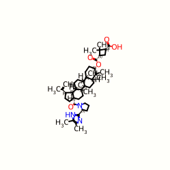 C=C(C)[C@@H]1CC[C@]2(C(=O)N3CCC[C@H]3c3nc(C)c(C)[nH]3)CC[C@]3(C)[C@H](CC[C@@H]4[C@@]5(C)CC[C@H](OC(=O)[C@H]6C[C@@H](C(=O)O)C6(C)C)C(C)(C)[C@@H]5CC[C@]43C)[C@@H]12